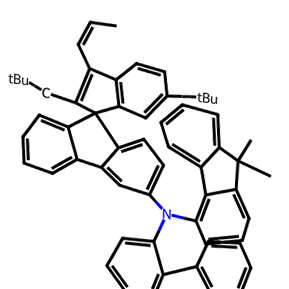 C/C=C\C1=C(CC(C)(C)C)C2(c3cc(C(C)(C)C)ccc31)c1ccccc1-c1cc(N(c3ccccc3-c3ccccc3)c3cccc4c3-c3ccccc3C4(C)C)ccc12